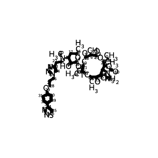 CC[C@H]1OC(=O)[C@H](C)C(=O)C[C@@H](O[C@@H]2O[C@H](C)C[C@H](N(C)CCc3cn(CCCOc4ccc(-c5csnn5)cc4)nn3)[C@H]2O)[C@](I)(OC)C[C@@H](C)C(=O)[C@H](C)[C@H]2N(N)C(=O)O[C@]12C